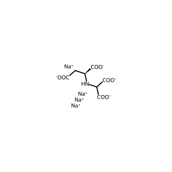 O=C([O-])C[C@H](NC(C(=O)[O-])C(=O)[O-])C(=O)[O-].[Na+].[Na+].[Na+].[Na+]